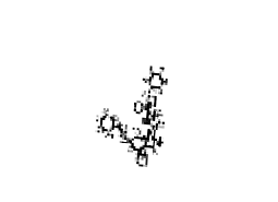 O=C(OCc1ccccc1)N1CCC(n2ncc3c(Cl)cc(SCc4ccccc4)cc32)C1